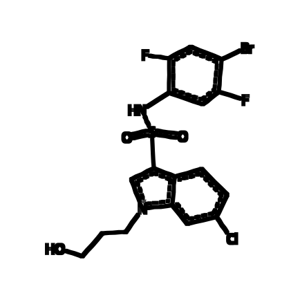 O=S(=O)(Nc1cc(F)c(Br)cc1F)c1cn(CCCO)c2cc(Cl)ccc12